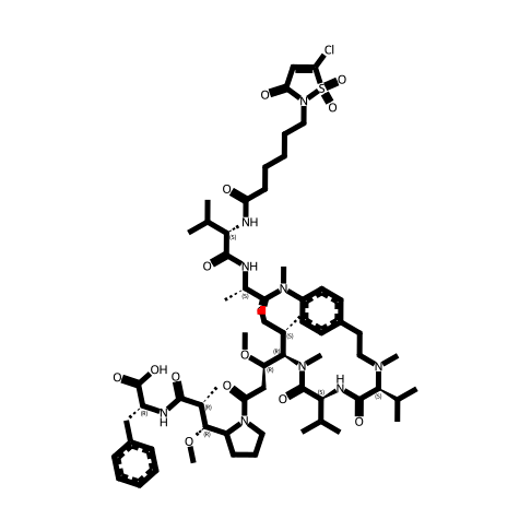 CC[C@H](C)[C@H]([C@@H](CC(=O)N1CCCC1[C@H](OC)[C@@H](C)C(=O)N[C@H](Cc1ccccc1)C(=O)O)OC)N(C)C(=O)[C@@H](NC(=O)[C@H](C(C)C)N(C)CCc1ccc(N(C)C(=O)[C@H](C)NC(=O)[C@@H](NC(=O)CCCCCN2C(=O)C=C(Cl)S2(=O)=O)C(C)C)cc1)C(C)C